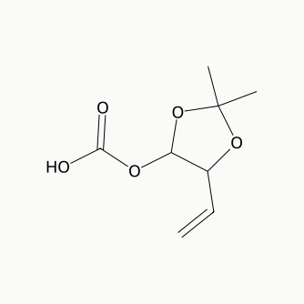 C=CC1OC(C)(C)OC1OC(=O)O